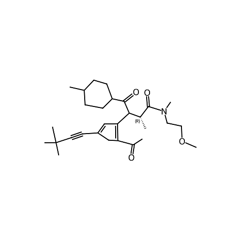 COCCN(C)C(=O)[C@H](C)C(C(=O)C1CCC(C)CC1)C1=C(C(C)=O)CC(C#CC(C)(C)C)=C1